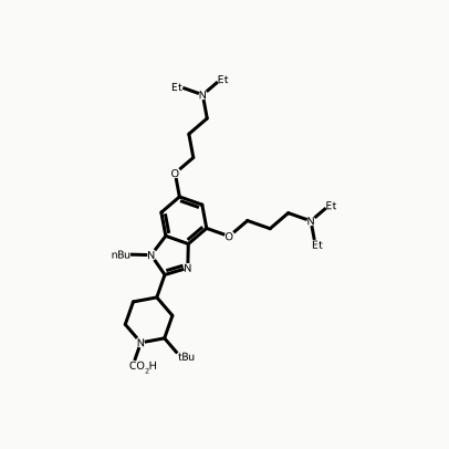 CCCCn1c(C2CCN(C(=O)O)C(C(C)(C)C)C2)nc2c(OCCCN(CC)CC)cc(OCCCN(CC)CC)cc21